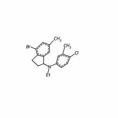 CCN(c1ccc(Cl)c(C)c1)C1CCc2c(Br)cc(C)cc21